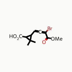 COC(=O)C(Br)=C=CC1C(C(=O)O)C1(C)C